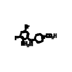 Nc1c(F)cc(Br)cc1NC1CCN(C(=O)O)CC1